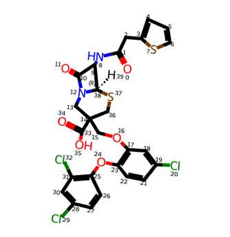 O=C(Cc1cccs1)NC1C(=O)N2CC(COc3cc(Cl)ccc3Oc3ccc(Cl)cc3Cl)(C(=O)O)CS[C@H]12